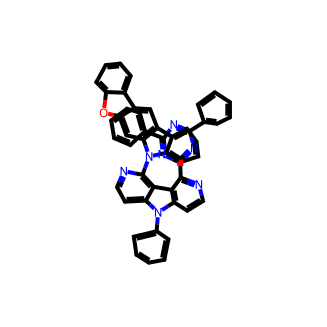 c1ccc(-c2nc(-c3ccccc3)nc(-c3nccc4c3c3c(-n5c6ccccc6c6cc7c(cc65)oc5ccccc57)nccc3n4-c3ccccc3)n2)cc1